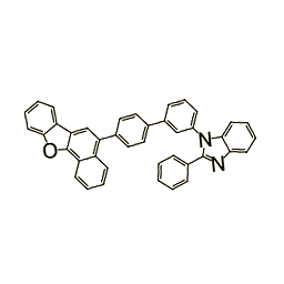 c1ccc(-c2nc3ccccc3n2-c2cccc(-c3ccc(-c4cc5c6ccccc6oc5c5ccccc45)cc3)c2)cc1